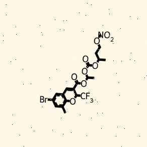 Cc1cc(Br)cc2c1OC(C(F)(F)F)C(C(=O)OC(C)OC(=O)OC(C)CCO[N+](=O)[O-])=C2